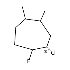 CC1CCC(F)[C@@H](Cl)CC1C